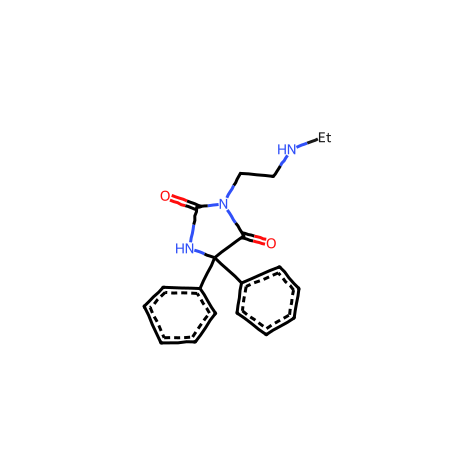 CCNCCN1C(=O)NC(c2ccccc2)(c2ccccc2)C1=O